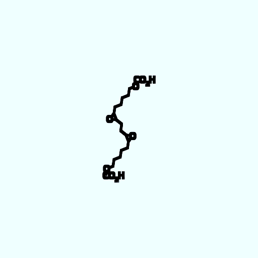 O=C(O)OCCCCCC1OC1CCC1OC1CCCCCOC(=O)O